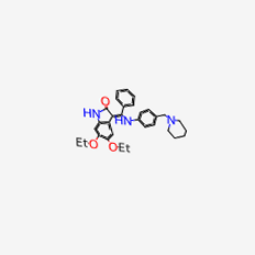 CCOc1cc2c(cc1OCC)C(=C(Nc1ccc(CN3CCCCC3)cc1)c1ccccc1)C(=O)N2